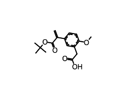 C=C(C(=O)OC(C)(C)C)c1ccc(OC)c(CC(=O)O)c1